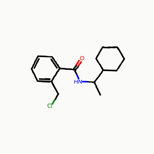 CC(NC(=O)c1ccccc1CCl)C1CCCCC1